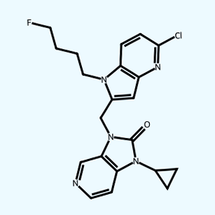 O=c1n(Cc2cc3nc(Cl)ccc3n2CCCCF)c2cnccc2n1C1CC1